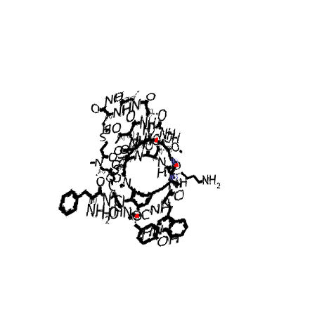 COc1cc2cc(c1Cl)N(C)C(=O)[C@H](OC(=O)[C@H](C)N(C)C(=O)CCSSC[C@H](NC(=O)[C@H](C)NC(=O)[C@H](C)NC(=O)[C@@H](NC(=O)[C@@H]1CSSC[C@H](NC(=O)[C@H](N)Cc3ccccc3)C(=O)N[C@@H](Cc3ccc(O)cc3)CN[C@H](Cc3c[nH]c4ccccc34)C(=O)N[C@@H](CCCCN)C(=O)N[C@@H]([C@@H](C)O)C(=O)N1)[C@@H](C)O)C(N)=O)[C@]1(C)O[C@H]1[C@H](C)[C@@H]1C[C@@](O)(NC(=O)O1)[C@H](OC)/C=C/C=C(\C)C2